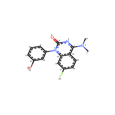 CN(C)c1nc(=O)n(-c2cccc(Br)c2)c2cc(F)ccc12